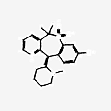 CN1CCCCC1=C1c2ccc(Cl)cc2S(=O)(=O)C(C)(C)c2cccnc21